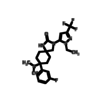 CCn1nc(C(F)(F)F)cc1N1CC2(CCC(c3cccc(F)c3)(N(C)C)CC2)NC1=O